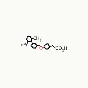 CCCc1cccc(C)c1-c1cccc(COc2ccc(CCC(=O)O)cc2)c1